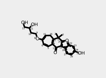 CC1(C)C2=C(C=CC(OCCC(O)CO)=CC2)C(=O)c2c1oc1cc(O)ccc21